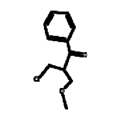 COCC(CCl)C(=O)c1ccccc1